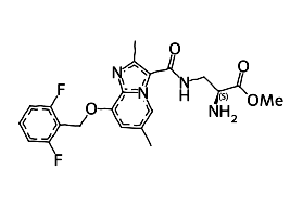 COC(=O)[C@@H](N)CNC(=O)c1c(C)nc2c(OCc3c(F)cccc3F)cc(C)cn12